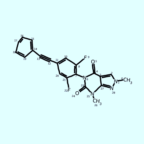 Cn1cc2c(=O)n(-c3c(F)cc(C#Cc4ccccc4)cc3F)c(=O)n(C)c2n1